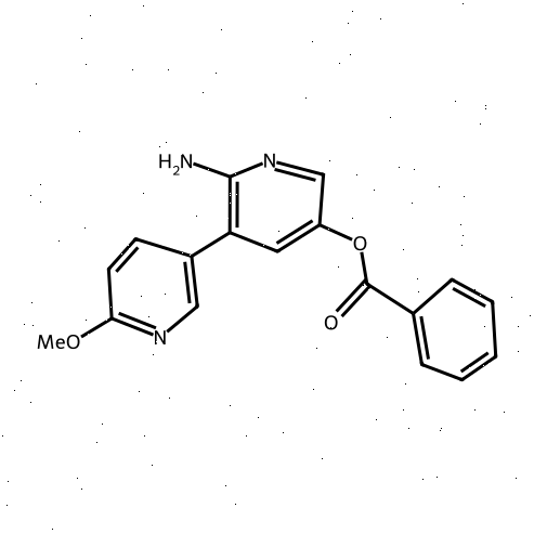 COc1ccc(-c2cc(OC(=O)c3ccccc3)cnc2N)cn1